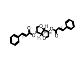 O=C(/C=C/c1ccccc1)O[C@@H]1CO[C@H]2[C@@H]1OC[C@H]2OC(=O)/C=C/c1ccccc1